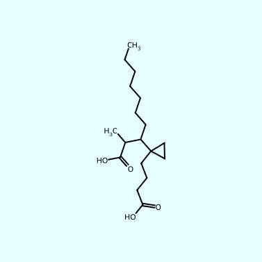 CCCCCCCC(C(C)C(=O)O)C1(CCCC(=O)O)CC1